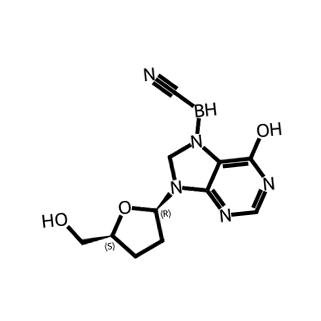 N#CBN1CN([C@H]2CC[C@@H](CO)O2)c2ncnc(O)c21